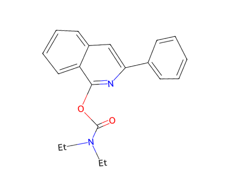 CCN(CC)C(=O)Oc1nc(-c2ccccc2)cc2ccccc12